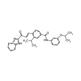 CC(C)Oc1cccc(NC(=O)c2ccc(C=CC(=O)c3nc4ccccc4[nH]3)c(C(C)C)c2)c1